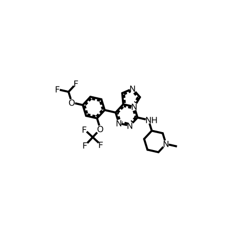 CN1CCCC(Nc2nnc(-c3ccc(OC(F)F)cc3OC(F)(F)F)c3cncn23)C1